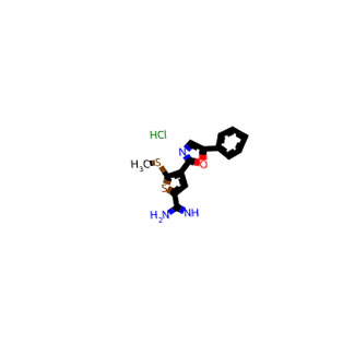 CSc1sc(C(=N)N)cc1-c1ncc(-c2ccccc2)o1.Cl